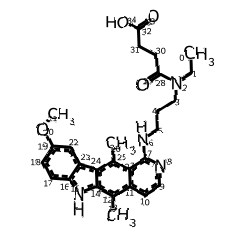 CCN(CCCNc1nccc2c(C)c3[nH]c4ccc(OC)cc4c3c(C)c12)C(=O)CCC(=O)O